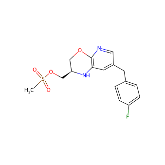 CS(=O)(=O)OC[C@H]1COc2ncc(Cc3ccc(F)cc3)cc2N1